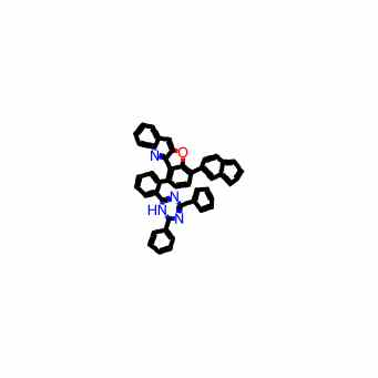 c1ccc(C2=NC(c3ccccc3)NC(c3ccccc3-c3ccc(-c4ccc5ccccc5c4)c4oc5cc6ccccc6nc5c34)=N2)cc1